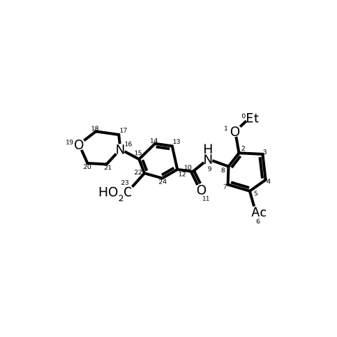 CCOc1ccc(C(C)=O)cc1NC(=O)c1ccc(N2CCOCC2)c(C(=O)O)c1